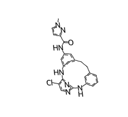 Cn1ccc(C(=O)Nc2cc3cc(c2)Nc2nc(ncc2Cl)Nc2cccc(c2)CC3)n1